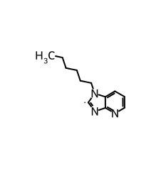 CCCCCCn1[c]nc2ncccc21